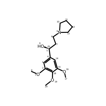 COc1cc([C@@H](O)CCN2CCCC2)cc(OC)c1OC